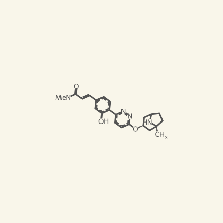 CNC(=O)/C=C/c1ccc(-c2ccc(O[C@H]3CC4CC[C@](C)(C3)N4)nn2)c(O)c1